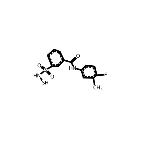 Cc1cc(NC(=O)c2cccc(S(=O)(=O)NS)c2)ccc1F